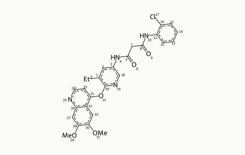 CCc1cc(NC(=O)CC(=O)Nc2ccccc2Cl)cnc1Oc1ccnc2cc(OC)c(OC)cc12